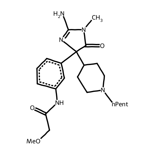 CCCCCN1CCC(C2(c3cccc(NC(=O)COC)c3)N=C(N)N(C)C2=O)CC1